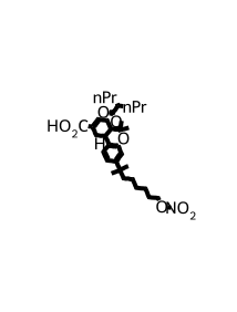 CCCC(CCC)C(=O)O[C@]12CC=C(C(=O)O)C[C@@H]1c1ccc(C(C)(C)CCCCCCO[N+](=O)[O-])cc1OC2(C)C